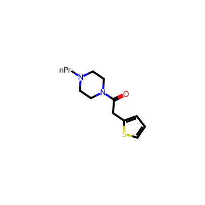 CCCN1CCN(C(=O)Cc2cccs2)CC1